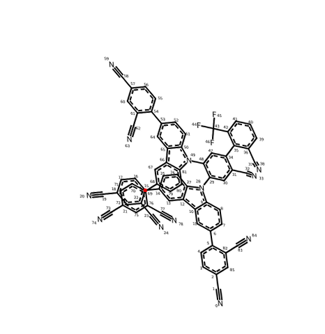 N#Cc1ccc(-c2ccc3c(c2)c2cc(-c4ccc(C#N)cc4C#N)ccc2n3-c2cc(C#N)c(-c3c(C#N)cccc3C(F)(F)F)cc2-n2c3ccc(-c4ccc(C#N)cc4C#N)cc3c3cc(-c4ccc(C#N)cc4C#N)ccc32)c(C#N)c1